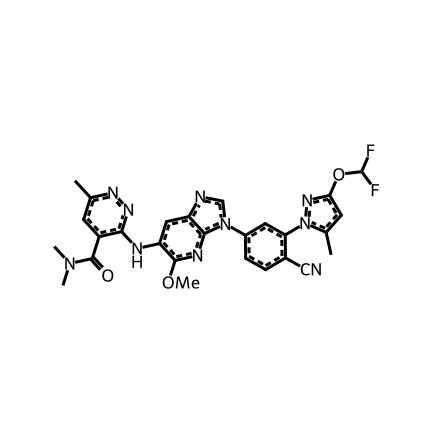 COc1nc2c(cc1Nc1nnc(C)cc1C(=O)N(C)C)ncn2-c1ccc(C#N)c(-n2nc(OC(F)F)cc2C)c1